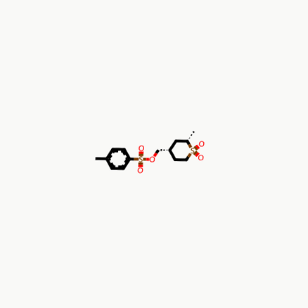 Cc1ccc(S(=O)(=O)OC[C@H]2CCS(=O)(=O)[C@@H](C)C2)cc1